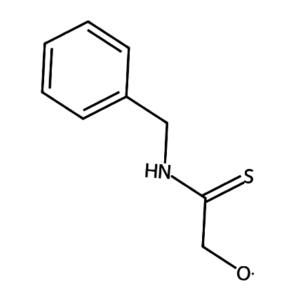 [O]CC(=S)NCc1ccccc1